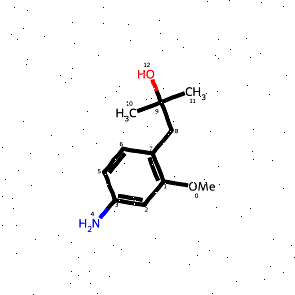 COc1cc(N)ccc1CC(C)(C)O